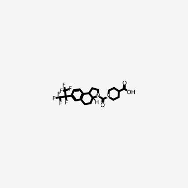 O=C(O)C1CCN(C(=O)N2CCC3c4ccc(C(F)(C(F)(F)F)C(F)(F)F)cc4CC[C@H]32)CC1